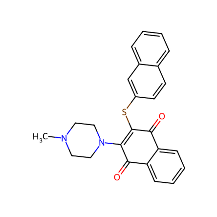 CN1CCN(C2=C(Sc3ccc4ccccc4c3)C(=O)c3ccccc3C2=O)CC1